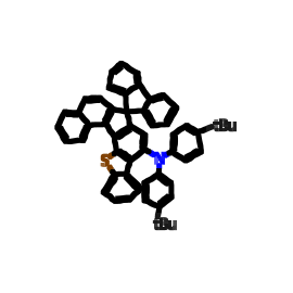 CC(C)(C)c1ccc(N(c2ccc(C(C)(C)C)cc2)c2cc3c(c4sc5ccccc5c24)-c2c(ccc4ccccc24)C32c3ccccc3-c3ccccc32)cc1